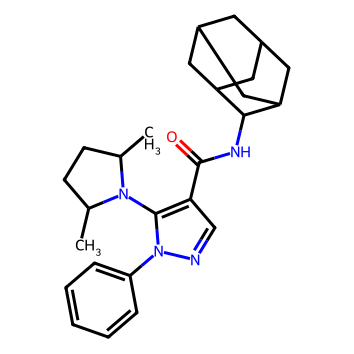 CC1CCC(C)N1c1c(C(=O)NC2C3CC4CC(C3)CC2C4)cnn1-c1ccccc1